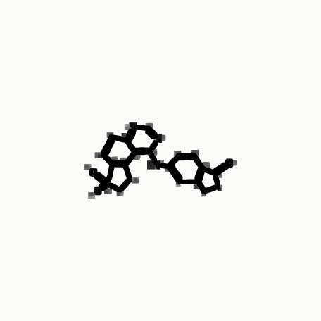 O=C1CCc2cc(Nc3ncnc4ccc5c(c34)CCS5(=O)=O)ccc21